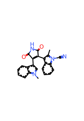 Cc1c(C2=C(c3cn(C)c4ccccc34)C(=O)NC2=O)c2ccccc2n1C#N